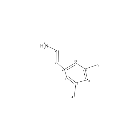 Cc1cc(C)cc(C=CN)c1